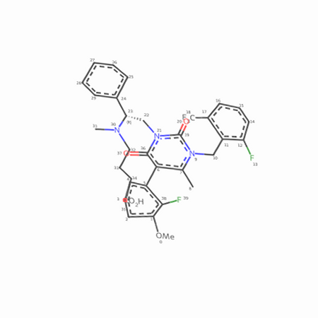 COc1cccc(-c2c(C)n(Cc3c(F)cccc3C(F)(F)F)c(=O)n(C[C@@H](c3ccccc3)N(C)CCCC(=O)O)c2=O)c1F